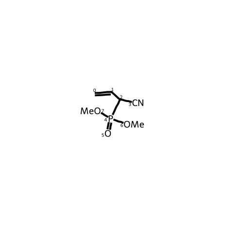 C=CC(C#N)P(=O)(OC)OC